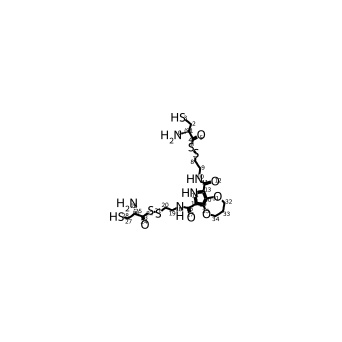 N[C@@H](CS)C(=O)SSCCNC(=O)c1[nH]c(C(=O)NCCSSC(=O)[C@@H](N)CS)c2c1OCCCO2